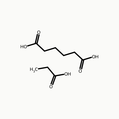 CCC(=O)O.O=C(O)CCCCC(=O)O